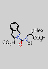 CCCCCC[C@H](CN(CC)C(=O)N1Cc2ccccc2C[C@H]1C(=O)O)C(=O)O